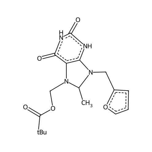 CC1N(Cc2ccco2)c2[nH]c(=O)[nH]c(=O)c2N1COC(=O)C(C)(C)C